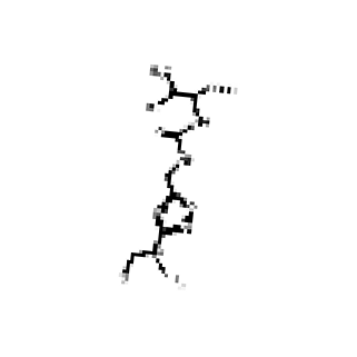 CC(O)C(NC(=O)NCc1nc([C@@H](N)CS)no1)C(=O)O